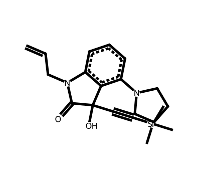 C=CCN1C(=O)C(O)(C#C[Si](C)(C)C)c2c(N3CCCC3)cccc21